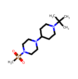 CC(C)(C)N1CCC(N2CCN(S(C)(=O)=O)CC2)CC1